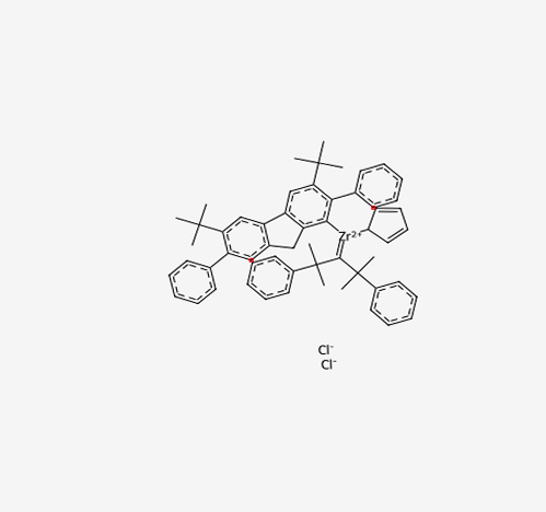 CC(C)(C)c1cc2c(cc1-c1ccccc1)Cc1c-2cc(C(C)(C)C)c(-c2ccccc2)[c]1[Zr+2](=[C](C(C)(C)c1ccccc1)C(C)(C)c1ccccc1)[CH]1C=CC=C1.[Cl-].[Cl-]